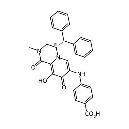 CN1C[C@H](C(c2ccccc2)c2ccccc2)n2cc(Nc3ccc(C(=O)O)cc3)c(=O)c(O)c2C1=O